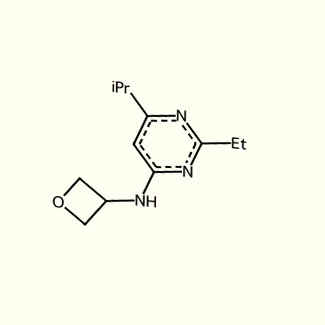 CCc1nc(NC2COC2)cc(C(C)C)n1